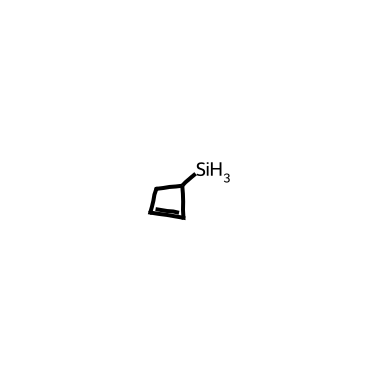 [SiH3]C1C=CC1